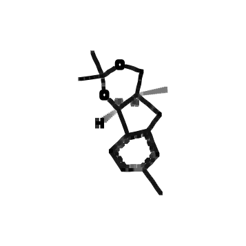 Cc1ccc2c(c1)C[C@]1(C)COC(C)(C)O[C@H]21